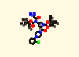 CC(C)(C)OC(=O)N1C[C@H](N(C(=O)CN)C(=O)OC(C)(C)C)C[C@H]1C(=O)N1CCN(c2ccccc2Cl)CC1